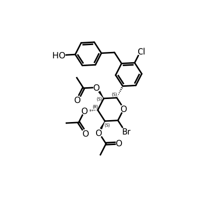 CC(=O)O[C@@H]1[C@@H](OC(C)=O)[C@H](c2ccc(Cl)c(Cc3ccc(O)cc3)c2)OC(Br)[C@H]1OC(C)=O